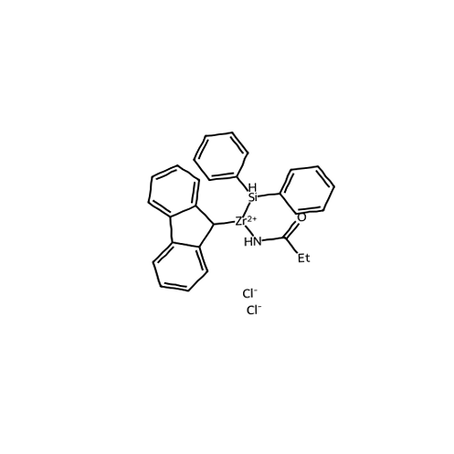 CCC(=O)[NH][Zr+2]([CH]1c2ccccc2-c2ccccc21)[SiH](c1ccccc1)c1ccccc1.[Cl-].[Cl-]